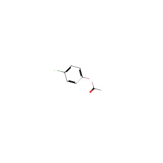 O=C(Oc1ccc(Br)cc1)C(Cl)(Cl)Cl